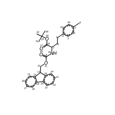 Cc1ccc(CCC(NC(=O)OCC2c3ccccc3-c3ccccc32)C(=O)OC(C)(C)C)cc1